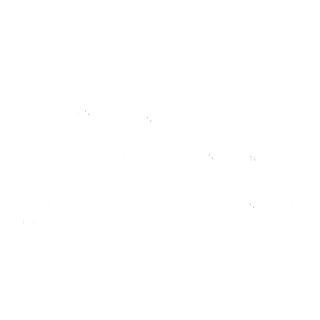 Cc1cc(NC2CCN(C3CCN(c4cnc(Cl)cn4)CC3)C2=O)c(F)cc1S(C)(=O)=O